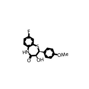 COc1ccc([C@@H]2Sc3cc(F)ccc3NC(=O)[C@@H]2O)cc1